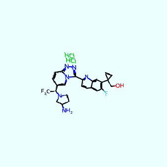 Cl.Cl.NC1CCN([C@H](c2ccc3nnc(-c4ccc5cc(F)c(C6(CO)CC6)cc5n4)n3c2)C(F)(F)F)C1